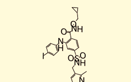 Cc1ncccc1CNS(=O)(=O)c1ccc(C(=O)NOCC2CC2)c(Nc2ccc(I)cc2)c1